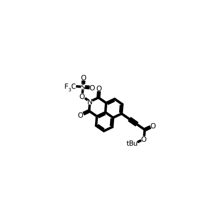 CC(C)(C)OC(=O)C#Cc1ccc2c3c(cccc13)C(=O)N(OS(=O)(=O)C(F)(F)F)C2=O